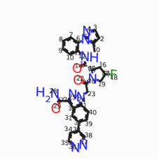 Cc1ccnn1-c1ccccc1NC(=O)[C@@H]1C[C@@H](F)CN1C(=O)Cn1nc(C(N)=O)c2cc(-c3ccnnc3)ccc21